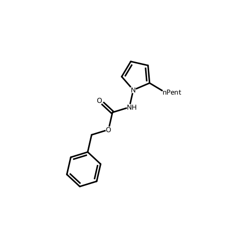 CCCCCc1cccn1NC(=O)OCc1ccccc1